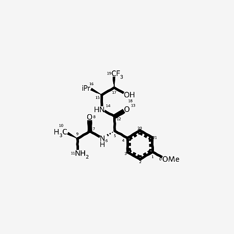 COc1ccc([C@H](NC(=O)[C@H](C)N)C(=O)N[C@@H](C(C)C)[C@H](O)C(F)(F)F)cc1